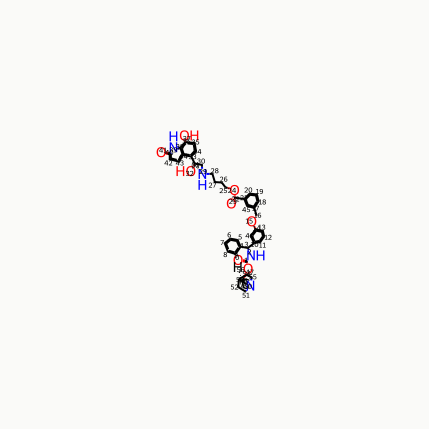 O=C(NC(c1ccccc1)c1cccc(OCc2cccc(C(=O)OCCCCNC[C@H](O)c3ccc(O)c4[nH]c(=O)ccc34)c2)c1)O[C@H]1CN2CCC1CC2